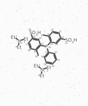 CCN(CC)CC.CCN(CC)CC.Cc1ccc(S(=O)(=O)O)cc1P(c1ccccc1)c1cc(S(=O)(=O)O)ccc1C